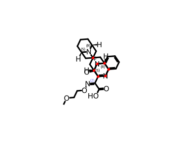 COCCO/N=C(\C(=O)O)c1nc2ccccc2n([C@H]2C[C@H]3CCC[C@@H](C2)N3C2C[C@H]3CCC[C@@H](C2)C3)c1=O